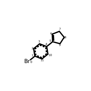 Brc1ccc(C2=CC[CH]C2)cc1